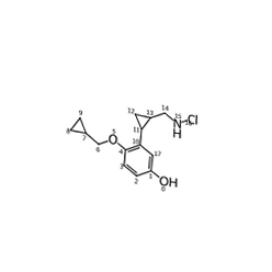 Oc1ccc(OCC2CC2)c(C2CC2CNCl)c1